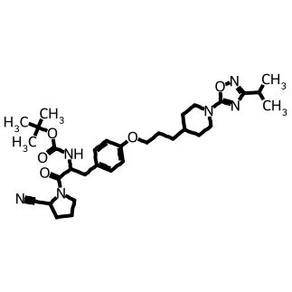 CC(C)c1noc(N2CCC(CCCOc3ccc(CC(NC(=O)OC(C)(C)C)C(=O)N4CCCC4C#N)cc3)CC2)n1